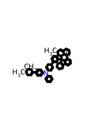 CC1C=C2C=CC[C@@H]3c4ccccc4C(C4=CC=CCC4)(c4cccc(C5C=CC(N(c6ccccc6)c6ccc(C7=CCC(C)C(C)C7)cc6)=CC5)c4)C(C1)C23